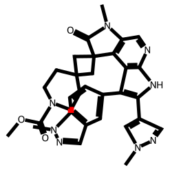 COC(=O)N1CCC2(CC1)CC1(C2)C(=O)N(C)c2cnc3[nH]c(-c4cnn(C)c4)c(-c4ccc5c(cnn5C)c4)c3c21